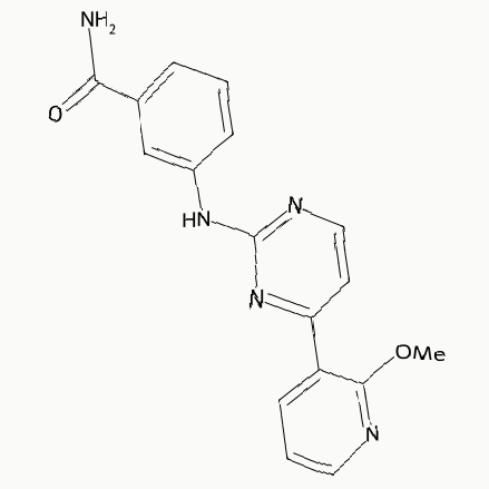 COc1ncccc1-c1ccnc(Nc2cccc(C(N)=O)c2)n1